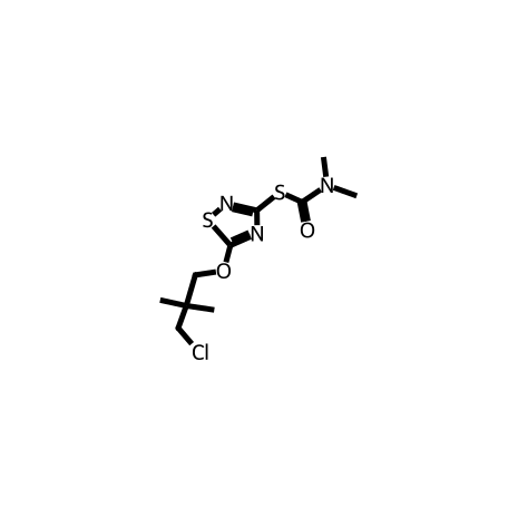 CN(C)C(=O)Sc1nsc(OCC(C)(C)CCl)n1